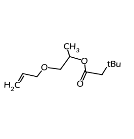 C=CCOCC(C)OC(=O)CC(C)(C)C